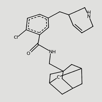 O=C(NCC12CC3CC(CC(C3)C1)C2)c1cc(CC2C=CCNC2)ccc1Cl